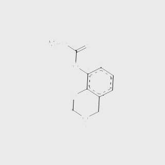 COC(=O)Oc1cccc2c1OCOC2